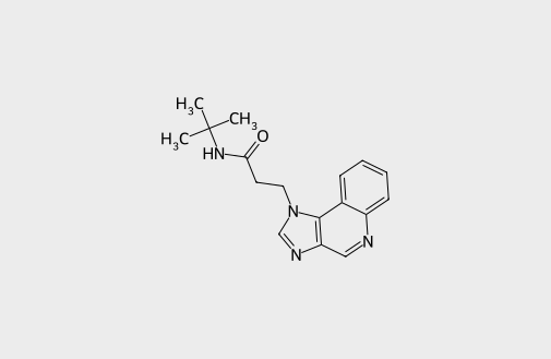 CC(C)(C)NC(=O)CCn1cnc2cnc3ccccc3c21